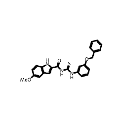 COc1ccc2[nH]c(C(=O)NC(=S)Nc3cccc(OCc4ccccc4)c3)cc2c1